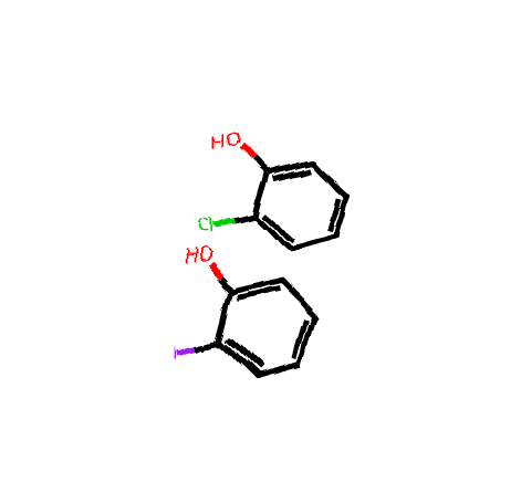 Oc1ccccc1Cl.Oc1ccccc1I